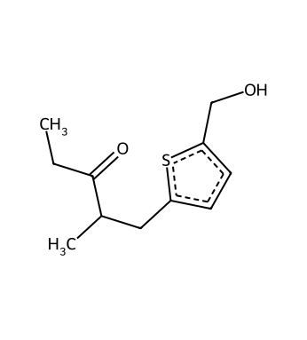 CCC(=O)C(C)Cc1ccc(CO)s1